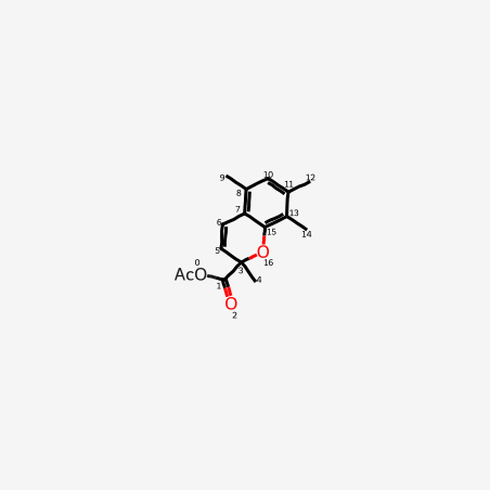 CC(=O)OC(=O)C1(C)C=Cc2c(C)cc(C)c(C)c2O1